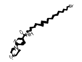 CCN1CCN(c2ccc(C(=O)NCCCCCCCCCCCCCCCCCBr)cn2)CC1